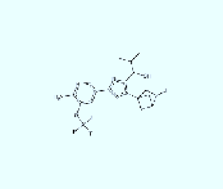 CC(C)C(O)c1nc(-c2cnc(N)c(OC(F)(F)F)c2)cn1C12CC(F)C(C1)C2